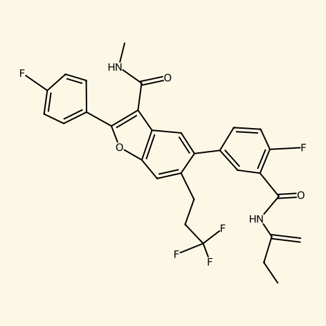 C=C(CC)NC(=O)c1cc(-c2cc3c(C(=O)NC)c(-c4ccc(F)cc4)oc3cc2CCC(F)(F)F)ccc1F